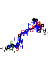 CN[C@@H](C)C(=O)N[C@H](C(=O)N1C[C@@H](NC(=O)CCC(=O)NCCN2CCN(CC(=O)NCc3cccc(CNc4cc(N5CCC6(CC5)CN(c5cc(F)c(CN7CCC(C)(C)CC7)cc5F)CC(=O)N6)ncn4)c3)CC2)C[C@H]1C(=O)N[C@H]1CCCc2ccccc21)C1CCCCC1